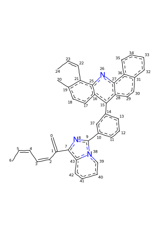 C=C(/C=C\C=C/C)c1nc(-c2cccc(-c3c4ccc(C)c(/C=C\C)c4nc4c3ccc3ccccc34)c2)n2ccccc12